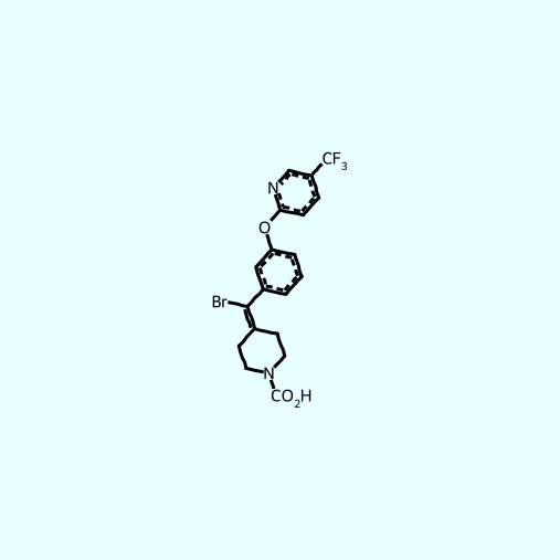 O=C(O)N1CCC(=C(Br)c2cccc(Oc3ccc(C(F)(F)F)cn3)c2)CC1